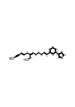 CC(C)(C)C#CC=CCC(=CCCCC=Cc1cccc(-c2ccsc2)c1)CO